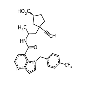 C#CC1(CC(C)NC(=O)c2ccnc3ccn(Cc4ccc(C(F)(F)F)cc4)c23)CC[C@H](C(=O)O)C1